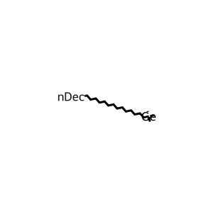 [CH2]CCCCCCCCCCCCCCCCCCCCCC[CH2][Ge]([CH3])([CH3])[CH3]